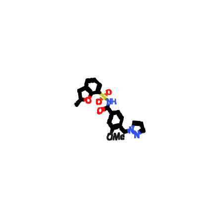 COc1cc(C(=O)NS(=O)(=O)c2cccc3c2OC(C)C3)ccc1Cn1cccn1